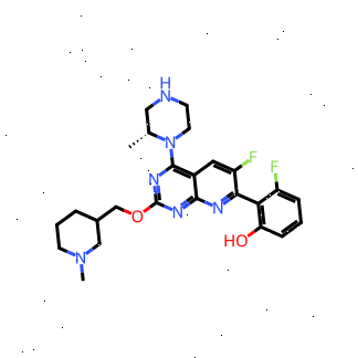 C[C@@H]1CNCCN1c1nc(OCC2CCCN(C)C2)nc2nc(-c3c(O)cccc3F)c(F)cc12